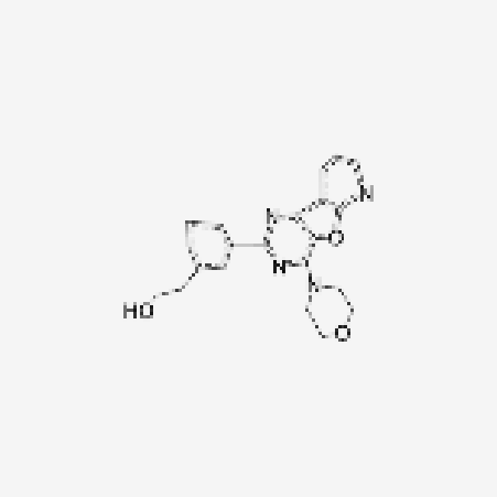 OCCc1cccc(-c2nc(N3CCOCC3)c3oc4ncccc4c3n2)c1